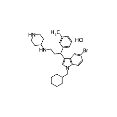 Cc1cccc(C(CCNC2CCNCC2)c2cn(CC3CCCCC3)c3ccc(Br)cc23)c1.Cl